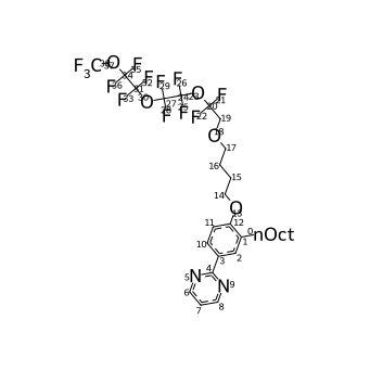 CCCCCCCCc1cc(-c2ncccn2)ccc1OCCCCOCC(F)(F)OC(F)(F)C(F)(F)OC(F)(F)C(F)(F)OC(F)(F)F